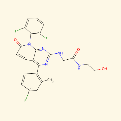 Cc1cc(F)ccc1-c1nc(NCC(=O)NCCO)nc2c1ccc(=O)n2-c1c(F)cccc1F